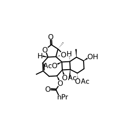 CCCC(=O)O[C@H]1C/C(C)=C\[C@@H]2OC(=O)[C@@]3(C)O[C@]23[C@]2(OC(C)=O)[C@H]3[C@@H](C)[C@@H](O)C[C@H](OC(C)=O)[C@]3(C)[C@]12OC(C)=O